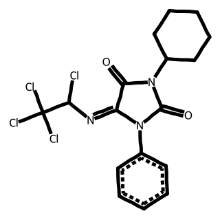 O=C1C(=NC(Cl)C(Cl)(Cl)Cl)N(c2ccccc2)C(=O)N1C1CCCCC1